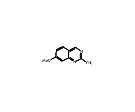 COc1ccc2cnc(C)nc2c1